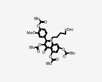 CCCCCCCCCCCCCCn1c(-c2ccc(OC(=O)C(C)(C)C)c(OC)c2)c(OC(=O)C(C)(C)C)c(=O)c2c(OC(=O)C(C)(C)C)cc(OC(=O)C(C)(C)C)cc21